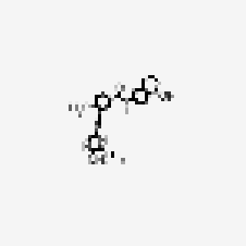 Cc1ccc(C(=O)Nc2ccc3c(c2)CCC[C@@H]3O)cc1C#Cc1cnc(N)c(C)n1